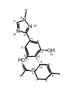 C=C(C)[C@@H]1CCC(C)=C[C@H]1c1c(O)cc(-c2ncn(C)n2)cc1O